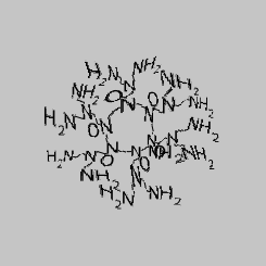 NCCN(CCN)CC(=O)N1CCN(C(=O)CN(CCN)CCN)CCN(C(=O)CN(CCN)CCN)CCN(C(=O)CN(CCN)CCN)C(N)CN(C(=O)CN(CCN)CCN)CCN(C(=O)CN(CCN)CCN)CC1